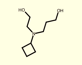 OCCCN(CCO)C1CCC1